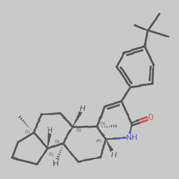 CC(C)(C)c1ccc(C2=C[C@@]3(C)[C@@H](CC[C@H]4[C@@H]5CCC[C@@]5(C)CC[C@@H]43)NC2=O)cc1